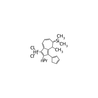 CCCC1=[C]([Hf]([Cl])[Cl])C2=CC=CC(=[Si](C)C)C(C)C2=C1C1=CC=CC1